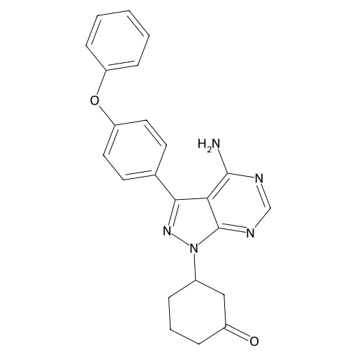 Nc1ncnc2c1c(-c1ccc(Oc3ccccc3)cc1)nn2C1CCCC(=O)C1